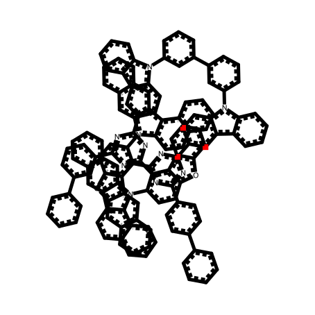 c1ccc(-c2ccc(-c3nc(-c4ccc5c(c4)c4ccccc4n5-c4cccc(-c5cccc(-n6c7ccccc7c7cc(-c8nc(-c9cccc(-c%10ccccc%10)c9)nc(-c9c(-n%10c%11cc%12ccccc%12cc%11c%11ccc%12ccccc%12c%11%10)ccc%10oc%11ccccc%11c9%10)n8)ccc76)c5)c4)nc(-c4c(-n5c6cc7ccccc7cc6c6c7ccccc7ccc65)ccc5oc6cc7ccccc7cc6c45)n3)cc2)cc1